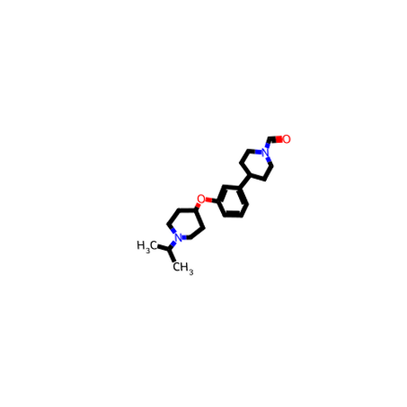 CC(C)N1CCC(Oc2cccc(C3CCN(C=O)CC3)c2)CC1